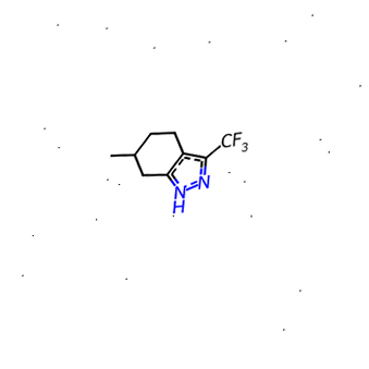 CC1CCc2c(C(F)(F)F)n[nH]c2C1